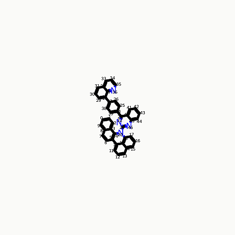 c1ccc2c3c(ccc2c1)-c1cccc2cccc(c12)N3c1nc(-c2ccc(-c3cccc4cccnc34)cc2)c2ccccc2n1